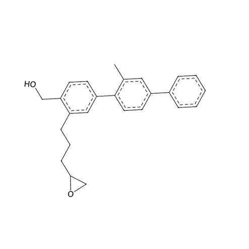 Cc1cc(-c2ccccc2)ccc1-c1ccc(CO)c(CCCC2CO2)c1